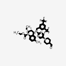 CCOC(=O)N1c2ccc(C)cc2[C@@H](N(Cc2cc(C(F)(F)F)cc(C(F)(F)F)c2)c2ncc(N3CCC(C=O)CC3)cn2)C[C@H]1CC